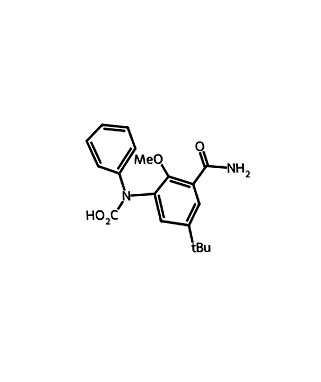 COc1c(C(N)=O)cc(C(C)(C)C)cc1N(C(=O)O)c1ccccc1